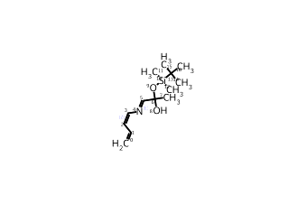 C=C/C=C\N=C\C(C)(O)O[Si](C)(C)C(C)(C)C